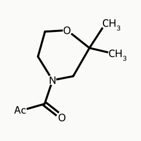 CC(=O)C(=O)N1CCOC(C)(C)C1